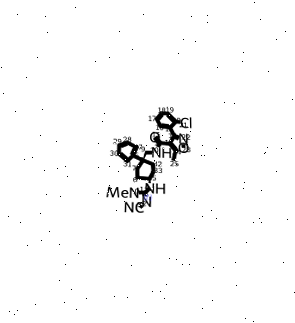 CN/C(=N\C#N)N[C@H]1CC[C@](CNC(=O)c2c(-c3ccccc3Cl)noc2C)(c2ccccc2)CC1